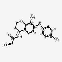 C=CC(=O)NC1CCOc2c1ccc(Oc1ccc(C(F)(F)F)nc1)c2O